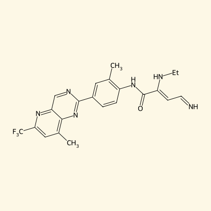 CCN/C(=C\C=N)C(=O)Nc1ccc(-c2ncc3nc(C(F)(F)F)cc(C)c3n2)cc1C